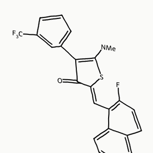 CNC1=C(c2cccc(C(F)(F)F)c2)C(=O)C(=Cc2c(F)ccc3ccccc23)S1